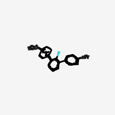 CCCCCCCCC12CCC(c3cccc(-c4ccc(CCC)cc4)c3F)(CC1)CC2